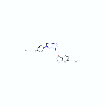 COc1ccc(-c2ccc3nnc(COc4ccnc5cc(OC)ccc45)n3n2)cc1